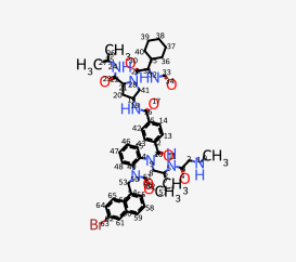 CNCC(=O)NC(C)CN(C(=O)c1ccc(C(=O)NC2CC(C(=O)NC(C)C)N(C(=O)C(NC=O)C3CCCCC3)C2)cc1)c1ccccc1N(C=O)Cc1c(OC)ccc2cc(Br)ccc12